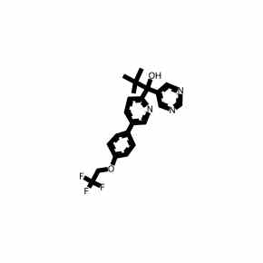 CC(C)(C)C(O)(c1cncnc1)c1ccc(-c2ccc(OCC(F)(F)F)cc2)cn1